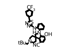 CC(C)(C)CN1CCC2(CC1)CN(c1ccccc1Nc1nnc(-c3ccc(C(F)(F)F)cc3)s1)c1c(O)ccc(C#N)c12